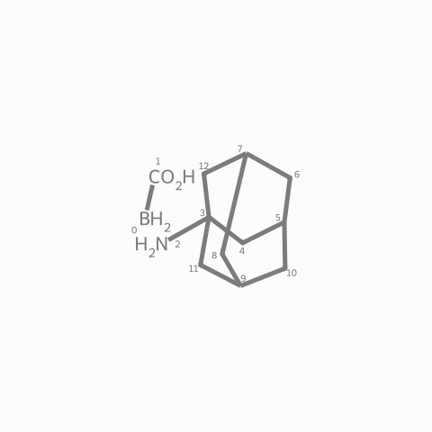 BC(=O)O.NC12CC3CC(CC(C3)C1)C2